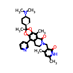 Cc1cc(C)c(CN2CCc3c(c(C)c4c(c3-c3cccnc3)O[C@](C)([C@H]3CC[C@H](N(C)C)CC3)O4)C2=O)c(=O)[nH]1